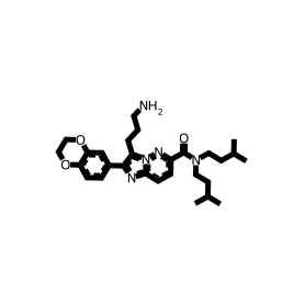 CC(C)CCN(CCC(C)C)C(=O)c1ccc2nc(-c3ccc4c(c3)OCCO4)c(CCCN)n2n1